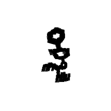 CCCCC(CCC)Oc1cnc(-c2ccccc2)nc1